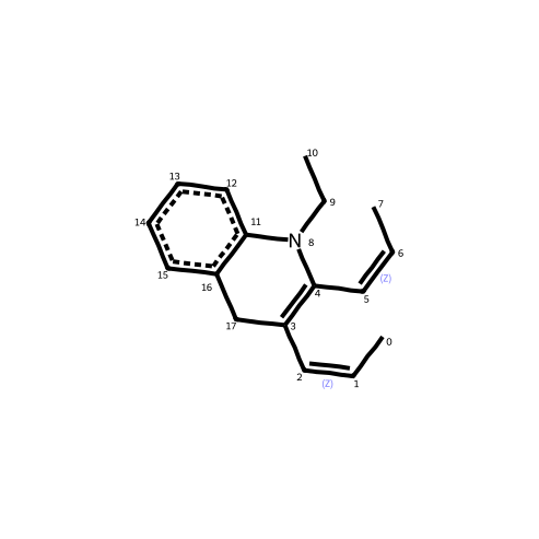 C/C=C\C1=C(/C=C\C)N(CC)c2ccccc2C1